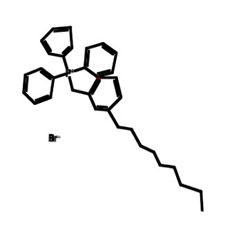 CCCCCCCCCc1cccc(C[P+](c2ccccc2)(c2ccccc2)c2ccccc2)c1.[Br-]